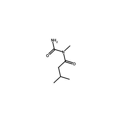 CC(C)CC(=O)N(C)C(N)=O